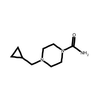 NC(=O)N1CCN(CC2CC2)CC1